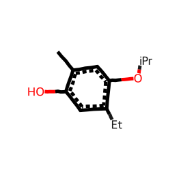 CCc1cc(O)c(C)cc1OC(C)C